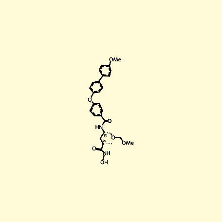 COCOC[C@H](C[C@H](C)C(=O)NO)NC(=O)c1ccc(Oc2ccc(-c3ccc(OC)cc3)cc2)cc1